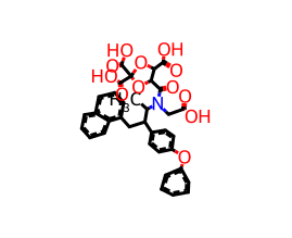 CC(C(Cc1cccc2ccccc12)c1ccc(Oc2ccccc2)cc1)N(CC(=O)O)C(=O)C1OC(C(=O)O)(C(=O)O)OC1C(=O)O